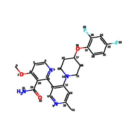 COc1ccnc(-c2cnc(C)cc2N2CCC(Oc3ccc(F)cc3F)CC2)c1C(N)=O